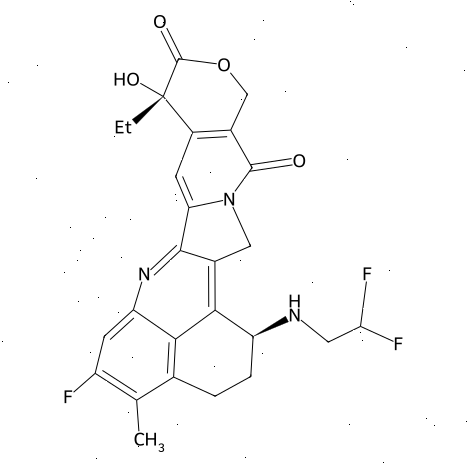 CC[C@@]1(O)C(=O)OCc2c1cc1n(c2=O)Cc2c-1nc1cc(F)c(C)c3c1c2[C@@H](NCC(F)F)CC3